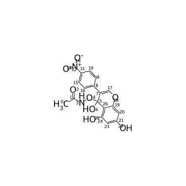 CC(=O)NOC1(O)C(c2ccc([N+](=O)[O-])cc2)=COc2cc(O)cc(O)c21